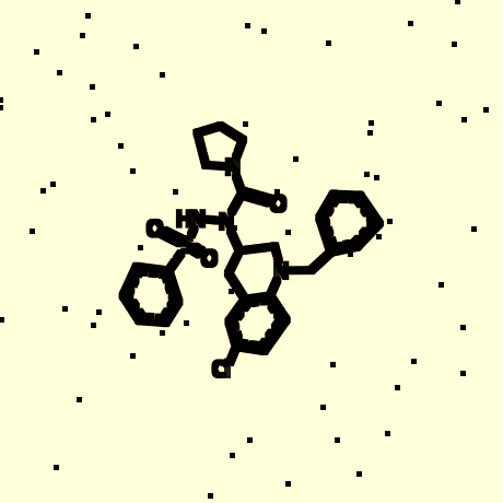 O=C(N1CCCC1)N(NS(=O)(=O)c1ccccc1)C1Cc2cc(Cl)ccc2N(Cc2ccccc2)C1